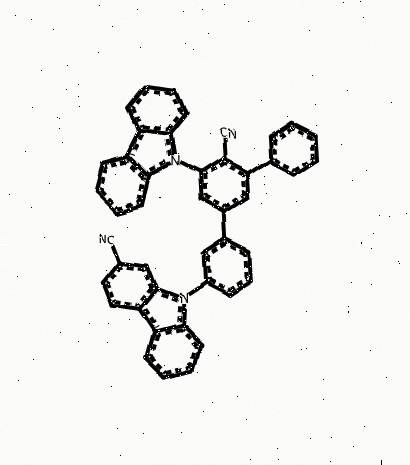 N#Cc1ccc2c3ccccc3n(-c3cccc(-c4cc(-c5ccccc5)c(C#N)c(-n5c6ccccc6c6ccccc65)c4)c3)c2c1